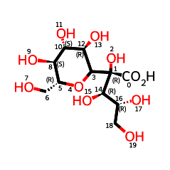 O=C(O)[C@](O)(C1O[C@H](CO)[C@@H](O)[C@H](O)[C@H]1O)[C@H](O)[C@H](O)CO